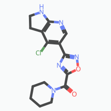 O=C(c1nc(-c2cnc3c(c2Cl)CCN3)no1)N1CCCCC1